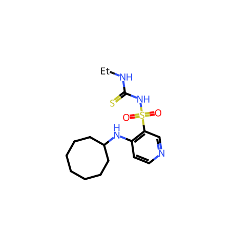 CCNC(=S)NS(=O)(=O)c1cnccc1NC1CCCCCCC1